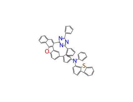 c1ccc(-c2nc(-c3ccccc3)nc(-c3cc4ccccc4c4oc5ccc(-c6ccc(N(c7ccccc7)c7cccc8c7sc7ccccc78)cc6)cc5c34)n2)cc1